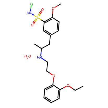 CCOc1ccccc1OCCNC(C)Cc1ccc(OC)c(S(=O)(=O)NCl)c1.O